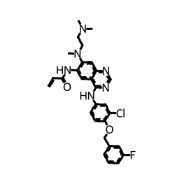 C=CC(=O)Nc1cc2c(Nc3ccc(OCc4cccc(F)c4)c(Cl)c3)ncnc2cc1N(C)CCN(C)C